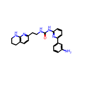 Nc1cccc(-c2cccc(NC(=O)NCCc3ccc4c(n3)NCCC4)n2)c1